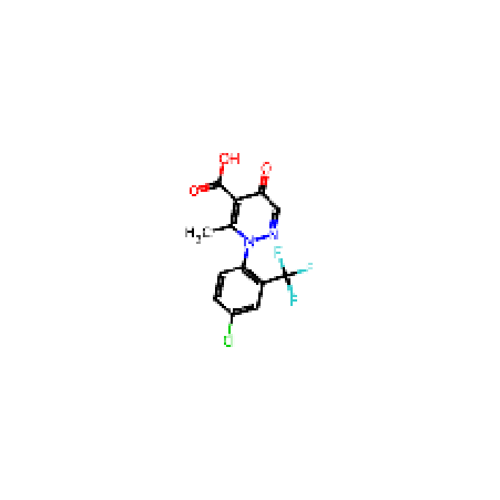 Cc1c(C(=O)O)c(=O)cnn1-c1ccc(Cl)cc1C(F)(F)F